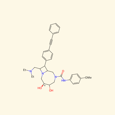 CCN(CC)CC1C(c2ccc(C#Cc3ccccc3)cc2)C2CN(C(=O)Nc3ccc(OC)cc3)CC(O)[C@@H](O)CN12